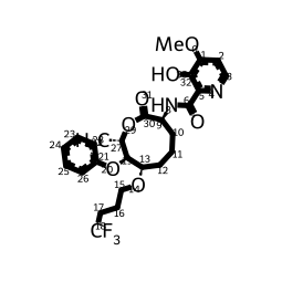 COc1ccnc(C(=O)N[C@H]2CCC[C@H](OCCCC(F)(F)F)[C@@H](Oc3ccccc3)[C@H](C)OC2=O)c1O